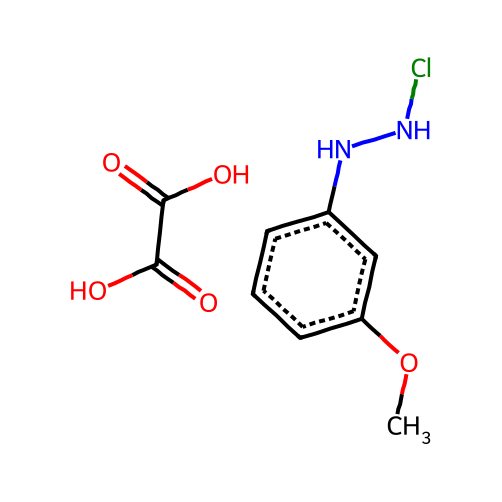 COc1cccc(NNCl)c1.O=C(O)C(=O)O